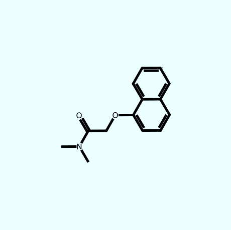 CN(C)C(=O)COc1cccc2c[c]ccc12